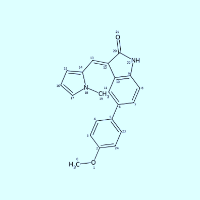 COc1ccc(-c2ccc3c(c2)C(=Cc2cccn2C)C(=O)N3)cc1